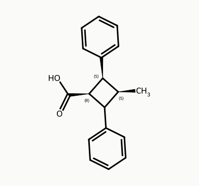 C[C@H]1C(c2ccccc2)[C@@H](C(=O)O)[C@H]1c1ccccc1